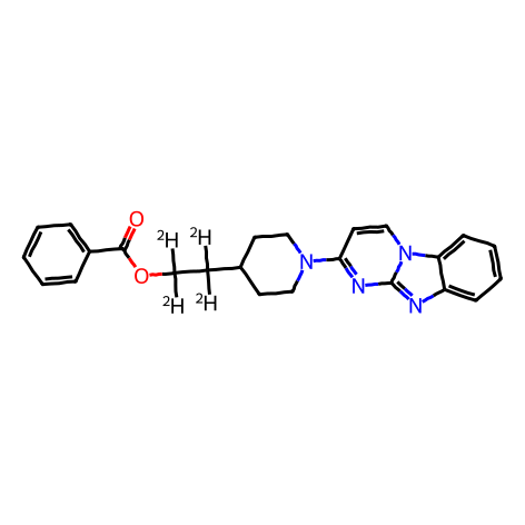 [2H]C([2H])(OC(=O)c1ccccc1)C([2H])([2H])C1CCN(c2ccn3c(n2)nc2ccccc23)CC1